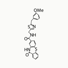 COc1cccc(Cc2ncc(CNC(=O)c3ccc4c(c3)NC(=O)c3ccccc3S4)s2)c1